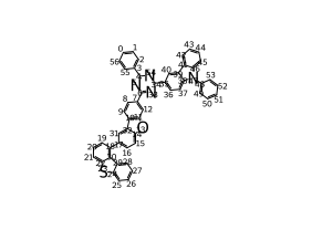 c1ccc(-c2nc(-c3ccc4c(c3)oc3ccc(-c5cccc6sc7ccccc7c56)cc34)nc(-c3ccc4c(c3)c3ccccc3n4-c3ccccc3)n2)cc1